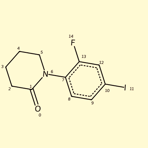 O=C1CCCCN1c1ccc(I)cc1F